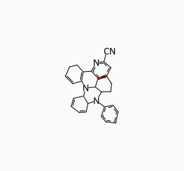 N#Cc1cccc(C2=C(N3C4C=CC=CC4N(c4ccccc4)C4CCC=CC43)C=CCC2)n1